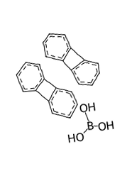 OB(O)O.c1ccc2c(c1)-c1ccccc1-2.c1ccc2c(c1)-c1ccccc1-2